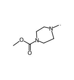 [CH2]N1CCN(C(=O)OC)CC1